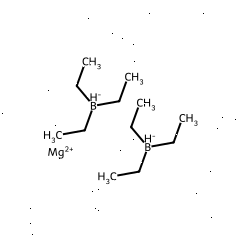 CC[BH-](CC)CC.CC[BH-](CC)CC.[Mg+2]